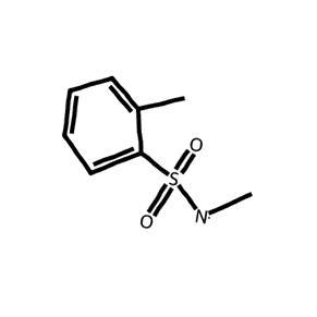 C[N]S(=O)(=O)c1ccccc1C